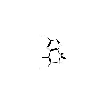 COc1cnc2c(c1)C(O)=C(C(=O)O)NS2(=O)=O